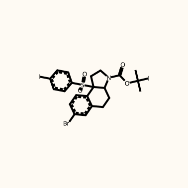 CC(C)(I)OC(=O)N1CCC2(S(=O)(=O)c3ccc(I)cc3)c3ccc(Br)cc3CCC12